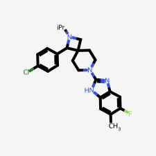 Cc1cc2[nH]c(N3CCC4(CC3)CN(C(C)C)C4c3ccc(Cl)cc3)nc2cc1F